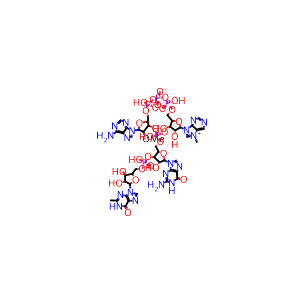 COC1C(OP(=O)(O)OCC2OC(n3cnc4c(=O)[nH]c(N)nc43)C(O)C2OP(=O)(O)OCC2OC(n3cnc4c(=O)[nH]c(C)nc43)C(O)C2O)C(COP(=O)(O)OP(=O)([O-])OP(=O)(O)OCC2OC(n3c[n+](C)c4cncnc43)C(O)C2O)OC1n1cnc2c(N)ncnc21